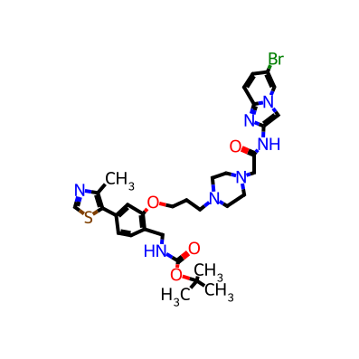 Cc1ncsc1-c1ccc(CNC(=O)OC(C)(C)C)c(OCCCN2CCN(CC(=O)Nc3cn4cc(Br)ccc4n3)CC2)c1